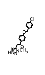 COC(Cc1nn[nH]n1)c1ccc(OCc2ccc(Cl)cc2)cc1